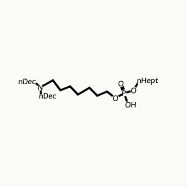 CCCCCCCCCCN(CCCCCCCCCC)CCCCCCCOP(=O)(O)OCCCCCCC